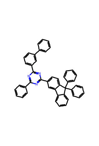 c1ccc(-c2cccc(-c3nc(-c4ccccc4)nc(-c4ccc5c(c4)-c4ccccc4C5(c4ccccc4)c4ccccc4)n3)c2)cc1